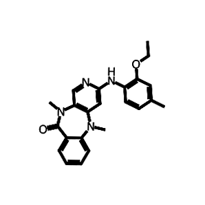 CCOc1cc(C)ccc1Nc1cc2c(cn1)N(C)C(=O)c1ccccc1N2C